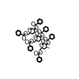 C[C@@H]1C(COC(=O)c2ccccc2)O[C@H](O[C@@H]2C(OC(=O)c3ccccc3)[C@@H](O[C@@H]3C(OC(=O)c4ccccc4)COC(COC(=O)c4ccccc4)[C@H]3C)OC(COC(=O)c3ccccc3)[C@H]2C)C(OC(=O)c2ccccc2)[C@H]1C